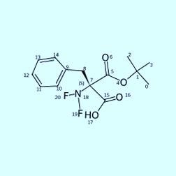 CC(C)(C)OC(=O)[C@](Cc1ccccc1)(C(=O)O)N(F)F